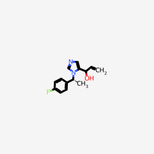 C=CC(O)c1cncn1[C@H](C)c1ccc(F)cc1